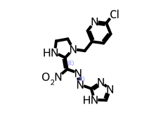 O=[N+]([O-])C(/N=N/c1nnc[nH]1)=C1\NCCN1Cc1ccc(Cl)nc1